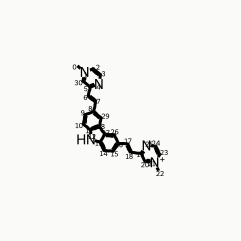 C[n+]1ccnc(/C=C/c2ccc3[nH]c4ccc(/C=C/c5c[n+](C)ccn5)cc4c3c2)c1